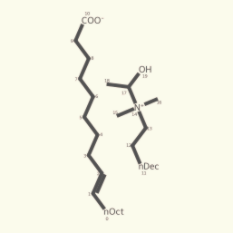 CCCCCCCCC=CCCCCCCCC(=O)[O-].CCCCCCCCCCCC[N+](C)(C)C(C)O